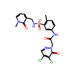 Cc1ccc(NC(=O)Cn2ncc(Cl)c(Cl)c2=O)cc1S(=O)(=O)NCc1cccn(C)c1=O